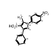 Cc1c(C(=O)O)c(-c2ccccc2)nn1-c1ccc([N+](=O)[O-])cc1